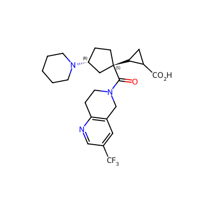 O=C(O)C1CC1[C@]1(C(=O)N2CCc3ncc(C(F)(F)F)cc3C2)CC[C@@H](N2CCCCC2)C1